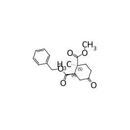 COC(=O)[C@@]1(C)CCC(=O)C[C@H]1C(=O)OCc1ccccc1